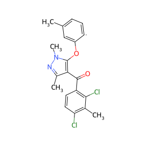 Cc1cc[c]c(Oc2c(C(=O)c3ccc(Cl)c(C)c3Cl)c(C)nn2C)c1